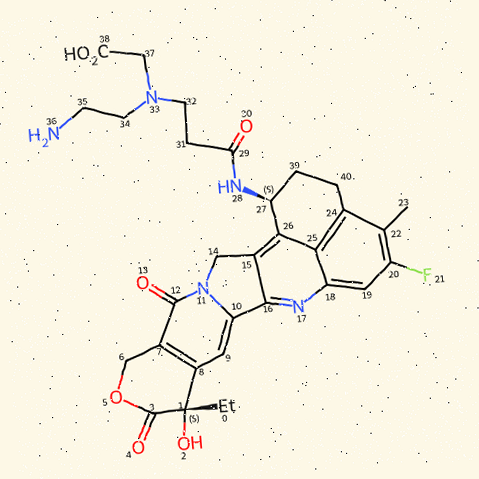 CC[C@@]1(O)C(=O)OCc2c1cc1n(c2=O)Cc2c-1nc1cc(F)c(C)c3c1c2[C@@H](NC(=O)CCN(CCN)CC(=O)O)CC3